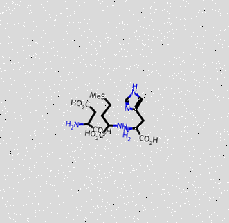 CSCCC(N)C(=O)O.NC(CC(=O)O)C(=O)O.NC(Cc1c[nH]cn1)C(=O)O